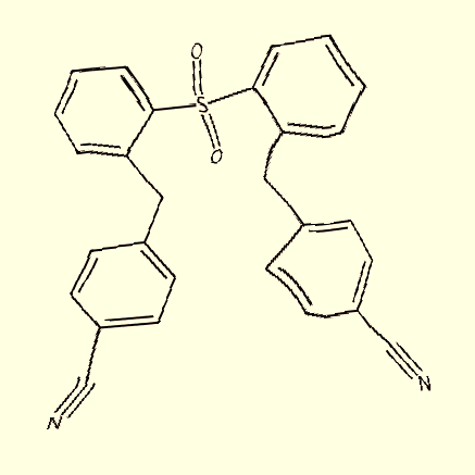 N#Cc1ccc(Cc2ccccc2S(=O)(=O)c2ccccc2Cc2ccc(C#N)cc2)cc1